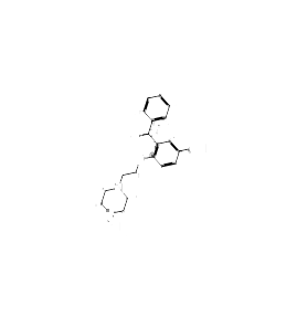 Cc1ccc(OCCN2CCN(C)CC2)c(C(O)c2ccccc2)c1